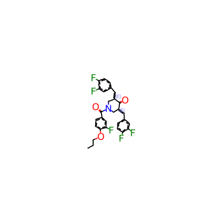 CCCOc1ccc(C(=O)N2C/C(=C\c3ccc(F)c(F)c3)C(=O)/C(=C/c3ccc(F)c(F)c3)C2)cc1F